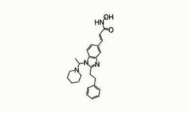 CC(N1CCCCC1)n1c(CCc2ccccc2)nc2cc(/C=C/C(=O)NO)ccc21